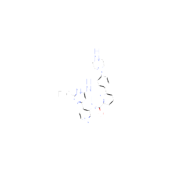 Nc1cc(-c2ccncc2NC(=O)c2cccc(-c3ccc(N4CCNCC4)cc3)n2)nc(C(F)(F)F)n1